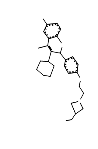 CC1=C(C2CCCCC2)C(c2ccc(OCCN3CC(CF)C3)cc2)Oc2ccc(O)cc21